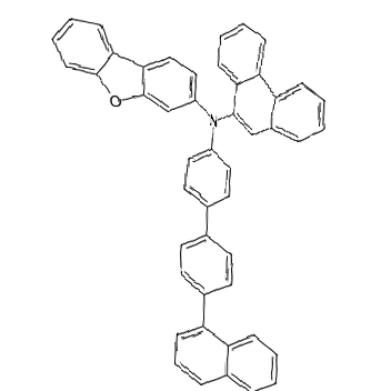 c1ccc2c(-c3ccc(-c4ccc(N(c5ccc6c(c5)oc5ccccc56)c5cc6ccccc6c6ccccc56)cc4)cc3)cccc2c1